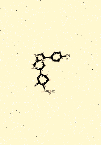 Cc1cc(-c2cn3c(-c4ccc(C#N)cc4)cnc3cn2)ccc1OC=O